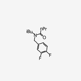 CCCC(=O)N(Cc1ccc(F)c(F)c1)C(C)CC